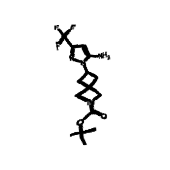 CC(C)(C)OC(=O)N1CC2(CC(n3nc(C(F)(F)F)cc3N)C2)C1